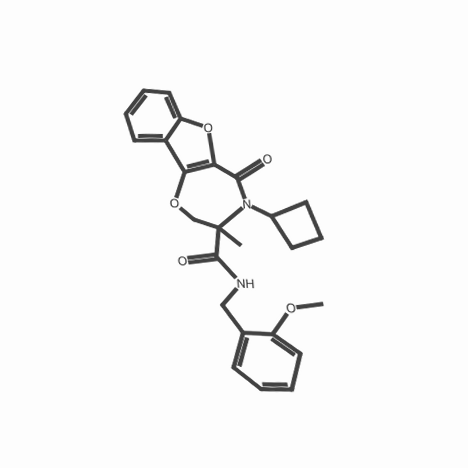 COc1ccccc1CNC(=O)C1(C)COc2c(oc3ccccc23)C(=O)N1C1CCC1